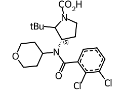 CC(C)(C)C1[C@@H](N(C(=O)c2cccc(Cl)c2Cl)C2CCOCC2)CCN1C(=O)O